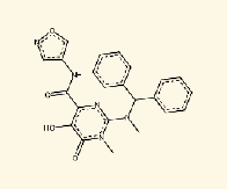 CN(c1nc(C(=O)Nc2cnoc2)c(O)c(=O)n1C)C(c1ccccc1)c1ccccc1